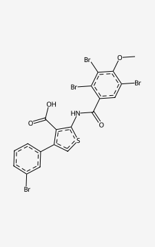 COc1c(Br)cc(C(=O)Nc2scc(-c3cccc(Br)c3)c2C(=O)O)c(Br)c1Br